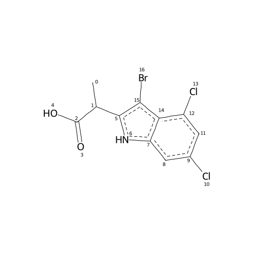 CC(C(=O)O)c1[nH]c2cc(Cl)cc(Cl)c2c1Br